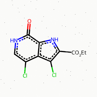 CCOC(=O)c1[nH]c2c(=O)[nH]cc(Cl)c2c1Cl